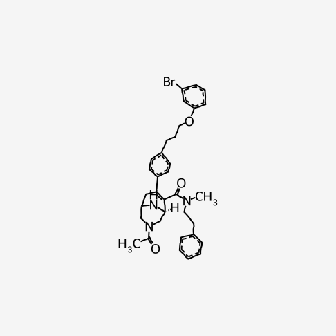 CC(=O)N1CC2CC(c3ccc(CCCOc4cccc(Br)c4)cc3)=C(C(=O)N(C)CCc3ccccc3)[C@@H](C1)N2